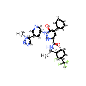 C[C@@H](NC(=O)c1cc(-c2ccccc2)c(=O)n(-c2cncc(-c3cnnn3C)c2)n1)c1cccc(C(F)(F)F)c1F